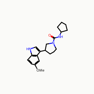 COc1ccc2[nH]cc(C3CCCN(C(=O)NC4CCCC4)C3)c2c1